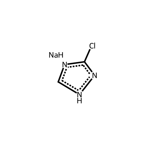 Clc1nc[nH]n1.[NaH]